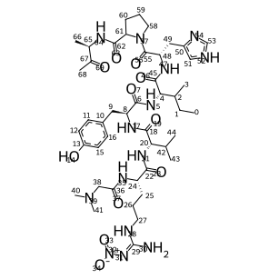 CCC(C)[C@H](NC(=O)[C@H](Cc1ccc(O)cc1)NC(=O)[C@@H](NC(=O)[C@H](CCCN/C(N)=N\[N+](=O)[O-])NC(=O)CN(C)C)C(C)C)C(=O)N[C@@H](Cc1c[nH]cn1)C(=O)N1CCCC1C(=O)N[C@H](C)C(C)=O